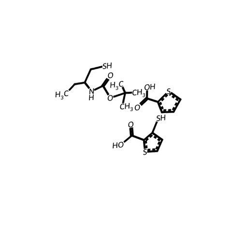 CCC(CS)NC(=O)OC(C)(C)C.O=C(O)c1cccs1.O=C(O)c1sccc1S